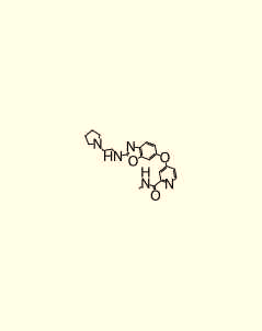 CNC(=O)c1cc(Oc2ccc3nc(NCCN4CCCC4)oc3c2)ccn1